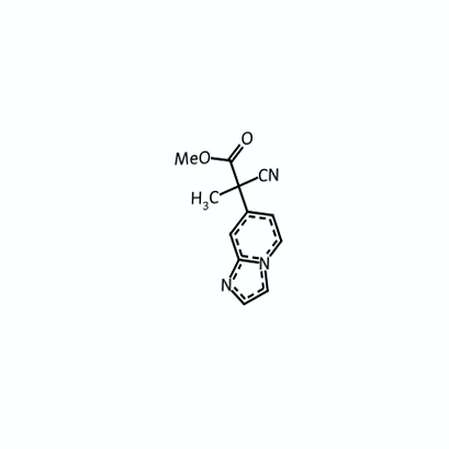 COC(=O)C(C)(C#N)c1ccn2ccnc2c1